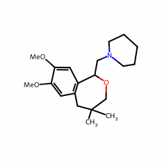 COc1cc2c(cc1OC)C(CN1CCCCC1)OCC(C)(C)C2